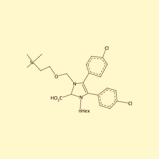 CCCCCCN1C(c2ccc(Cl)cc2)=C(c2ccc(Cl)cc2)N(COCC[Si](C)(C)C)C1C(=O)O